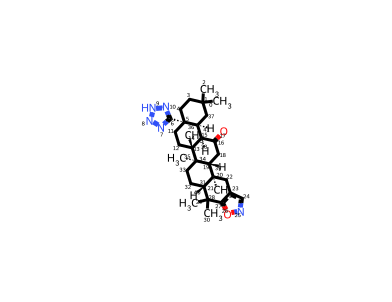 CC1(C)CC[C@]2(c3nn[nH]n3)CC[C@]3(C)[C@H](C(=O)C[C@@H]4[C@@]5(C)Cc6cnoc6C(C)(C)[C@@H]5CC[C@]43C)[C@@H]2C1